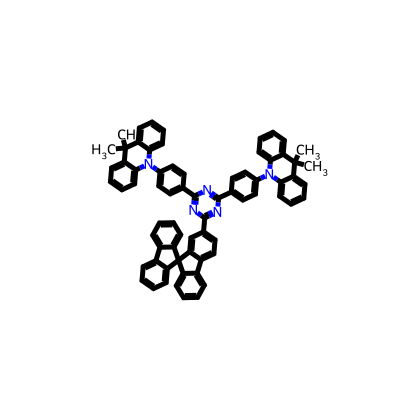 CC1(C)c2ccccc2N(c2ccc(-c3nc(-c4ccc(N5c6ccccc6C(C)(C)c6ccccc65)cc4)nc(-c4ccc5c(c4)C4(c6ccccc6-c6ccccc64)c4ccccc4-5)n3)cc2)c2ccccc21